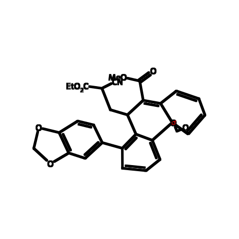 CCOC(=O)C(C#N)CC1C(C(=O)OC)=C2C=CC=C3OCOC32c2cccc(-c3ccc4c(c3)OCO4)c21